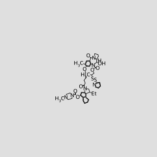 CC[C@@H]1CN(C(=O)CCCCCOc2cc3c(cc2C)C(=O)N2CCC[C@H]2C(O)N3C(=O)OCC(C)SSc2ccccn2)c2cc(OC(=O)N3CCN(C)CC3)c3ccccc3c21